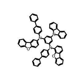 c1ccc(-c2ccc(N(c3cc(N(c4ccc(-c5ccccc5)cc4)c4cccc5c4oc4ccccc45)cc(-n4c5ccccc5c5ccccc54)c3)c3ccc4oc5ccccc5c4c3)cc2)cc1